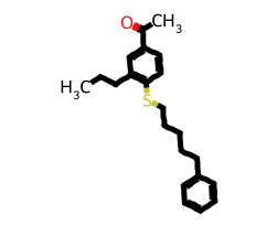 CCCc1cc(C(C)=O)ccc1SCCCCCc1ccccc1